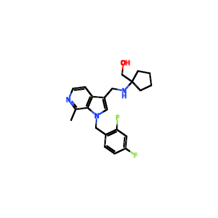 Cc1nccc2c(CNC3(CO)CCCC3)cn(Cc3ccc(F)cc3F)c12